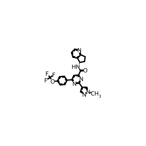 Cn1cc(-c2nc(C(=O)N[C@H]3CCc4ncccc43)cc(-c3ccc(OC(F)(F)F)cc3)n2)cn1